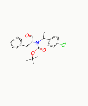 [CH2]C(c1ccc(Cl)cc1)N(C(=O)OC(C)(C)C)[C@H](C=O)Cc1ccccc1